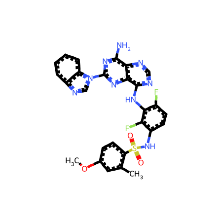 COc1ccc(S(=O)(=O)Nc2ccc(F)c(Nc3ncnc4c(N)nc(-n5cnc6ccccc65)nc34)c2F)c(C)c1